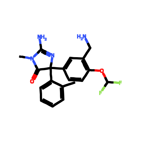 Cc1ccccc1C1(c2ccc(OC(F)F)c(CN)c2)N=C(N)N(C)C1=O